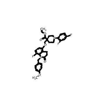 CCOC(=O)C1(COc2ccc(F)c3c2CCC(=O)N3Cc2ccc(OC)cc2)CCN(c2ccc(F)cc2F)CC1